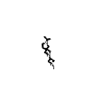 CC(C)N1CCC2(C1)CN(C1CN(I)C1)C2